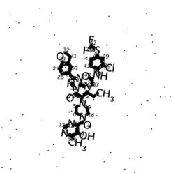 CCc1c(N2CCN(C(=O)c3ncnc(C)c3O)CC2)c(=O)n2nc(-c3ccc4c(c3)CCO4)nc2n1CC(=O)Nc1ccc(SC(F)F)cc1Cl